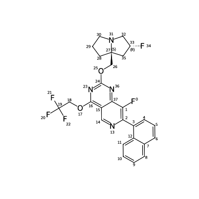 Fc1c(-c2cccc3ccccc23)ncc2c(OCC(F)(F)F)nc(OC[C@@]34CCCN3C[C@H](F)C4)nc12